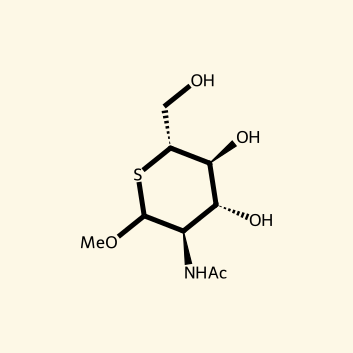 COC1S[C@H](CO)[C@@H](O)[C@H](O)[C@H]1NC(C)=O